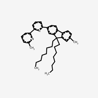 CCCCCCCCC1(CCCCCCCC)c2cc(C)ccc2-c2ccc(-c3cccc(-c4cccc(C)n4)n3)cc21